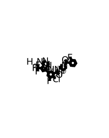 Nc1ncnn2c(-c3cc(F)c(Cl)c(C(=O)N[C@@H]4CN(C(=O)c5ccccc5F)C[C@@H]4F)c3)cc(C(F)(F)F)c12